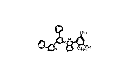 COc1c(-c2nn(-c3cc(-c4ccccc4)cc(-c4cc(-c5ccccc5)ccn4)c3)c3ccccc23)cc(C(C)(C)C)cc1C(C)(C)C